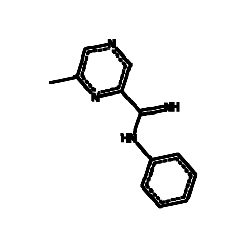 Cc1cncc(C(=N)Nc2ccccc2)n1